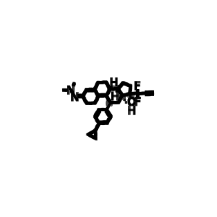 C#CC(F)(F)[C@]1(O)CC[C@H]2[C@@H]3CCC4=CC(=NN(C)C)CCC4=C3[C@H](c3ccc(C4CC4)cc3)C[C@@]21C